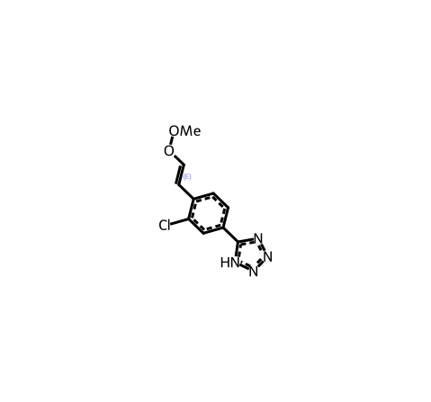 COO/C=C/c1ccc(-c2nnn[nH]2)cc1Cl